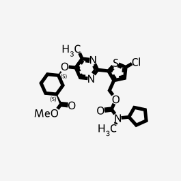 COC(=O)[C@H]1CCC[C@H](Oc2cnc(-c3sc(Cl)cc3COC(=O)N(C)C3CCCC3)nc2C)C1